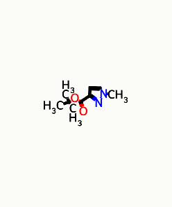 Cn1ccc(C(=O)OC(C)(C)C)n1